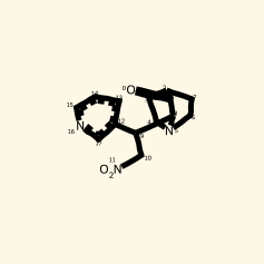 O=C1C2CCN(CC2)C1C(C[N+](=O)[O-])c1cccnc1